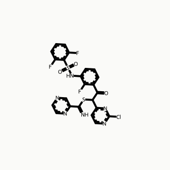 N=C(SC(C(=O)c1cccc(NS(=O)(=O)c2c(F)cccc2F)c1F)c1ccnc(Cl)n1)c1cnccn1